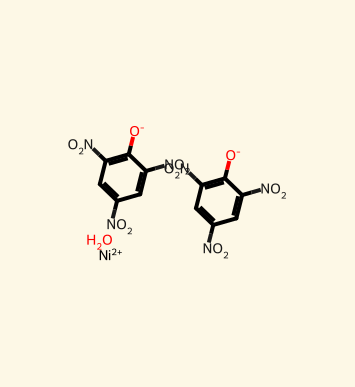 O.O=[N+]([O-])c1cc([N+](=O)[O-])c([O-])c([N+](=O)[O-])c1.O=[N+]([O-])c1cc([N+](=O)[O-])c([O-])c([N+](=O)[O-])c1.[Ni+2]